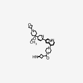 CCOC1(C2C=CC(c3cc4c(N5CCN(C(=O)C6CC(=N)C6)CC5)ccnn4c3)=NC2)CCN(C2COC2)CC1